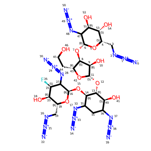 [N-]=[N+]=NC[C@@H]1O[C@H](O[C@H]2[C@@H](O)[C@H](O[C@H]3[C@H](O[C@H]4O[C@H](CN=[N+]=[N-])[C@@H](O)[C@@H](F)C4N=[N+]=[N-])C(N=[N+]=[N-])CC(N=[N+]=[N-])[C@@H]3O)O[C@@H]2CCO)C(N=[N+]=[N-])[C@@H](O)[C@@H]1O